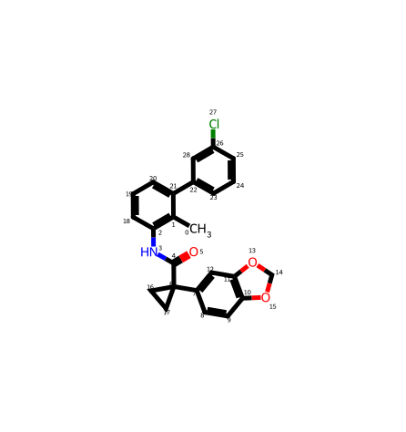 Cc1c(NC(=O)C2(c3ccc4c(c3)OCO4)CC2)cccc1-c1cccc(Cl)c1